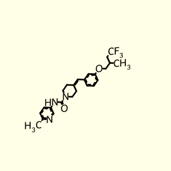 Cc1ccc(NC(=O)N2CCC(=Cc3cccc(OCC(C)CC(F)(F)F)c3)CC2)cn1